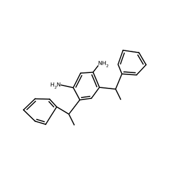 CC(c1ccccc1)c1cc(C(C)c2ccccc2)c(N)cc1N